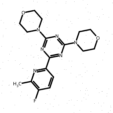 Cc1nc(-c2nc(N3CCOCC3)nc(N3CCOCC3)n2)ccc1F